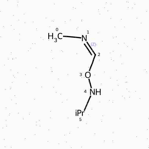 C/N=C\ONC(C)C